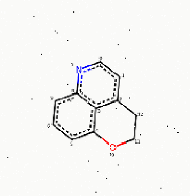 [c]1cc2c3c(cccc3n1)OCC2